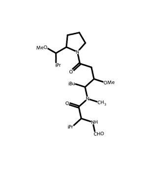 CCC(C)C(C(CC(=O)N1CCCC1C(OC)C(C)C)OC)N(C)C(=O)C(NC=O)C(C)C